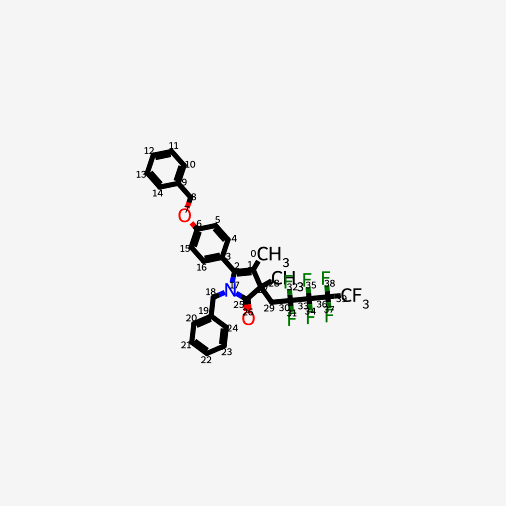 CC1=C(c2ccc(OCc3ccccc3)cc2)N(Cc2ccccc2)C(=O)C1(C)CC(F)(F)C(F)(F)C(F)(F)C(F)(F)F